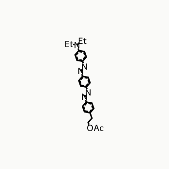 CCN(CC)c1ccc(N=Nc2ccc(N=Nc3ccc(CCOC(C)=O)cc3)cc2)cc1